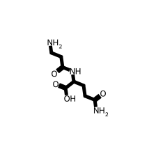 NCCC(=O)NC(CCC(N)=O)C(=O)O